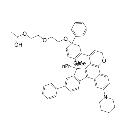 CCCC1(CCC)c2cc(-c3ccccc3)ccc2-c2c1c1c(c3ccc(N4CCCCC4)cc23)OCC=C1C1=C(OC)C=CC(OCCOCCOC(C)O)(c2ccccc2)C1